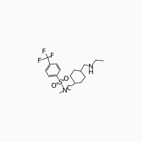 CCNCC1CCC(CN(C)S(=O)(=O)c2ccc(C(F)(F)F)cc2)CC1